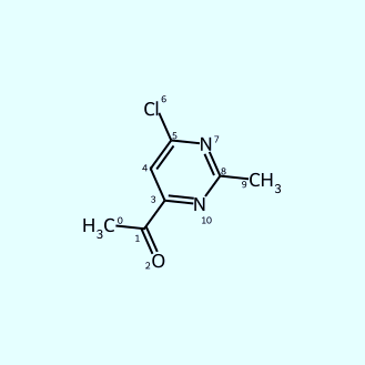 CC(=O)c1cc(Cl)nc(C)n1